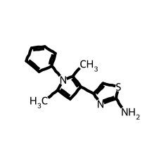 Cc1cc(-c2csc(N)n2)c(C)n1-c1ccccc1